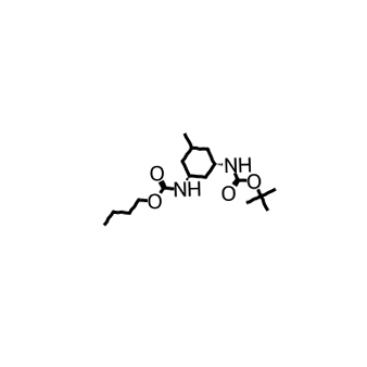 CCCCOC(=O)N[C@@H]1CC(C)C[C@H](NC(=O)OC(C)(C)C)C1